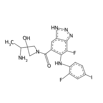 CC(N)C1(O)CN(C(=O)c2cc3[nH]nnc3c(F)c2Nc2ccc(I)cc2F)C1